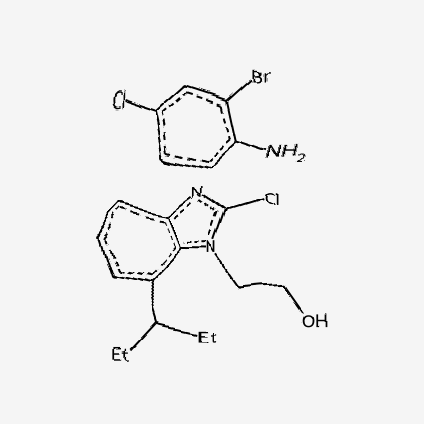 CCC(CC)c1cccc2nc(Cl)n(CCO)c12.Nc1ccc(Cl)cc1Br